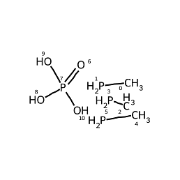 CP.CP.CP.O=P(O)(O)O